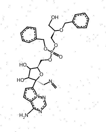 C=NC[C@@]1(c2ccc3c(N)ncnn23)O[C@H](COP(=O)(OCc2ccccc2)OC[C@@H](CO)OCc2ccccc2)C(O)C1O